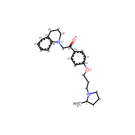 CC1CCCN1CCCOc1ccc(C(=O)CN2CCCc3ccccc32)cc1